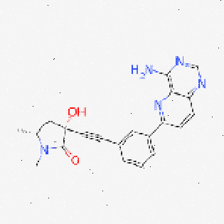 C[C@@H]1C[C@@](O)(C#Cc2cccc(-c3ccc4ncnc(N)c4n3)c2)C(=O)N1C